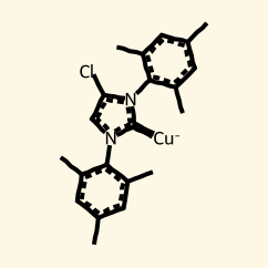 Cc1cc(C)c(-n2cc(Cl)n(-c3c(C)cc(C)cc3C)[c]2=[Cu-])c(C)c1